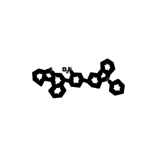 O=[N+]([O-])c1cc(-c2ccc3c(c2)c2ccccc2n3-c2ccccc2)ccc1-c1cc2sc3ccccc3c2c2ccccc12